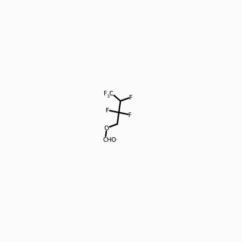 O=[C]OCC(F)(F)C(F)C(F)(F)F